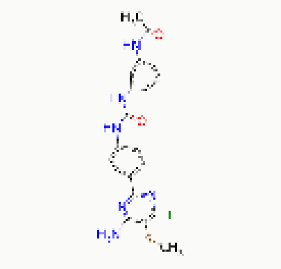 CSc1c(N)nc(-c2ccc(NC(=O)Nc3cccc(NC(C)=O)c3)cc2)nc1Cl